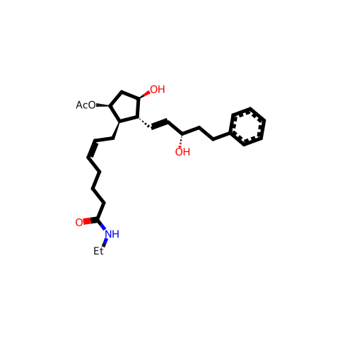 CCNC(=O)CCC/C=C\C[C@@H]1[C@@H](/C=C/[C@@H](O)CCc2ccccc2)[C@H](O)C[C@@H]1OC(C)=O